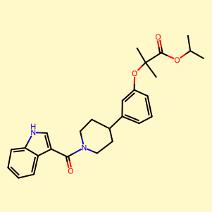 CC(C)OC(=O)C(C)(C)Oc1cccc(C2CCN(C(=O)c3c[nH]c4ccccc34)CC2)c1